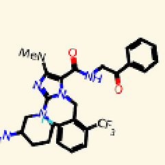 CNc1nc(N2CCCC(N)C2)n(Cc2c(F)cccc2C(F)(F)F)c1C(=O)NCC(=O)c1ccccc1